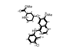 COC(=O)[C@H]1C[C@@H](Oc2cc3c(Nc4cccc(Cl)c4F)ncnc3cc2OC)CCN1